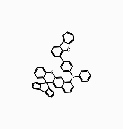 c1ccc(N(c2ccc(-c3cccc4c3oc3ccccc34)cc2)c2cccc3cc4c(cc23)Sc2ccccc2C42c3ccccc3-c3ccccc32)cc1